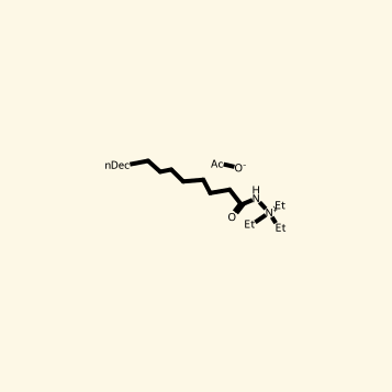 CC(=O)[O-].CCCCCCCCCCCCCCCCCC(=O)N[N+](CC)(CC)CC